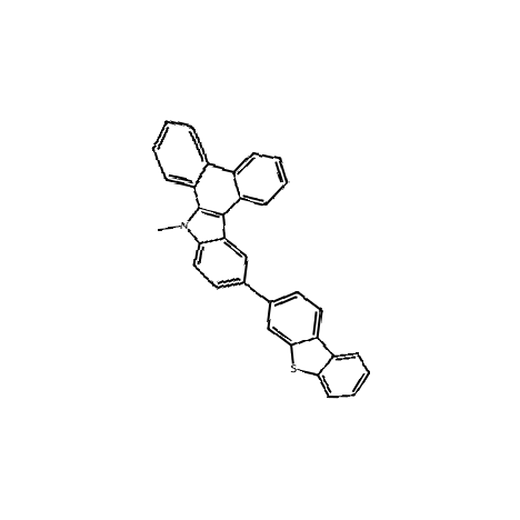 Cn1c2ccc(-c3ccc4c(c3)sc3ccccc34)cc2c2c3ccccc3c3ccccc3c21